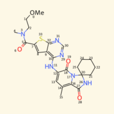 COCCN(C)C(=O)c1cc2c(Nc3cc(C)c4n(c3=O)C3(CCCCC3)NC4=O)ncnc2s1